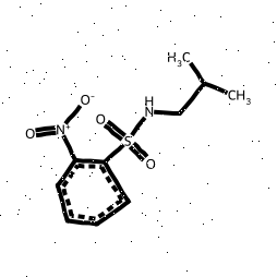 C[C](C)CNS(=O)(=O)c1ccccc1[N+](=O)[O-]